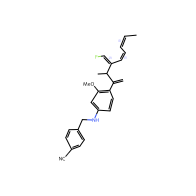 C=C(c1ccc(NCc2ccc(C#N)cc2)cc1OC)C(C)C(/C=C\C=C/C)=C\F